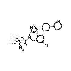 CC(C)(C)OC(=O)N1Cc2cc(Cl)ccc2-n2c(nnc2[C@H]2CC[C@H](c3cccnc3)CC2)C1